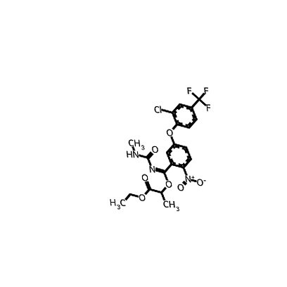 CCOC(=O)C(C)OC(=NC(=O)NC)c1cc(Oc2ccc(C(F)(F)F)cc2Cl)ccc1[N+](=O)[O-]